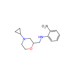 O=[N+]([O-])c1ccccc1NCC1CN(C2CC2)CCO1